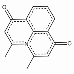 Cc1cc(=O)c2cccc3c(=O)cc(C)n1c23